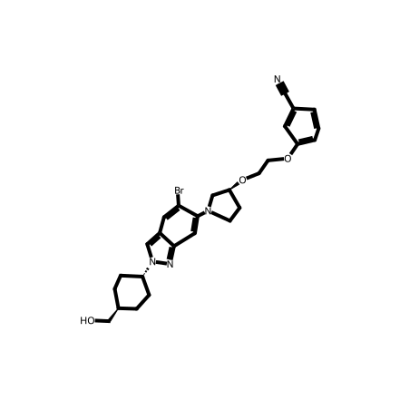 N#Cc1cccc(OCCO[C@H]2CCN(c3cc4nn([C@H]5CC[C@H](CO)CC5)cc4cc3Br)C2)c1